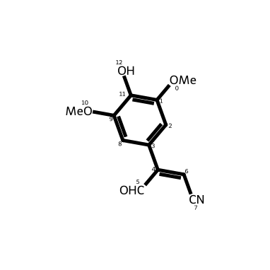 COc1cc(C(C=O)=CC#N)cc(OC)c1O